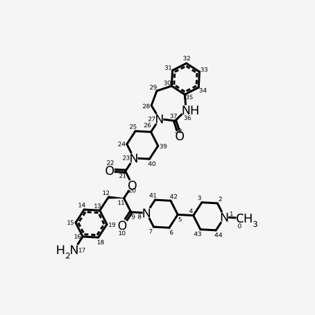 CN1CCC(C2CCN(C(=O)[C@@H](Cc3ccc(N)cc3)OC(=O)N3CCC(N4CCc5ccccc5NC4=O)CC3)CC2)CC1